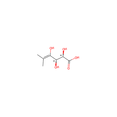 CC(C)=C(O)[C@H](O)[C@@H](O)C(=O)O